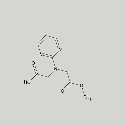 COC(=O)CN(CC(=O)O)c1ncccn1